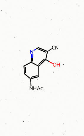 CC(=O)Nc1ccc2ncc(C#N)c(O)c2c1